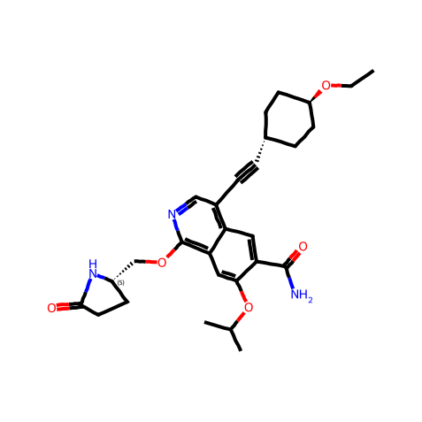 CCO[C@H]1CC[C@H](C#Cc2cnc(OC[C@@H]3CCC(=O)N3)c3cc(OC(C)C)c(C(N)=O)cc23)CC1